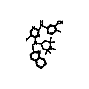 Cc1ccc(Nc2ncc(F)c(N(Cc3ccc4ccccc4n3)C3CC(C)(C)N(C)C(C)(C)C3)n2)cc1C#N